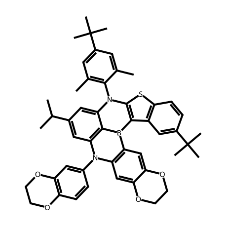 Cc1cc(C(C)(C)C)cc(C)c1N1c2cc(C(C)C)cc3c2B(c2cc4c(cc2N3c2ccc3c(c2)OCCO3)OCCO4)c2c1sc1ccc(C(C)(C)C)cc21